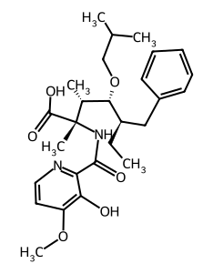 CC[C@H](Cc1ccccc1)[C@@H](OCC(C)C)[C@@H](C)[C@](C)(NC(=O)c1nccc(OC)c1O)C(=O)O